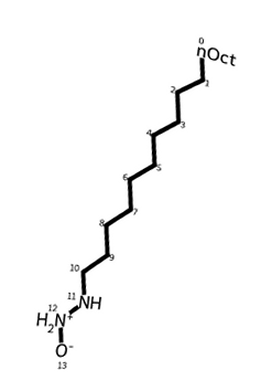 CCCCCCCCCCCCCCCCCCN[NH2+][O-]